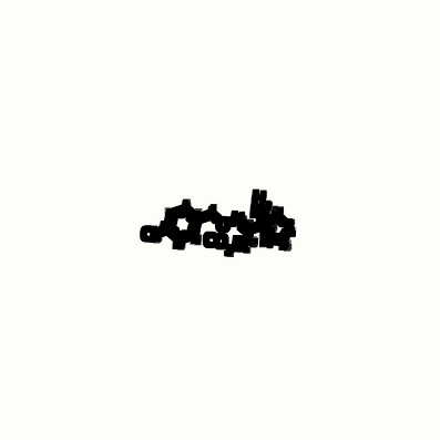 CCOC(=O)/C(=N\OCc1ccc(Cl)cc1)C1(N)CSC=N1